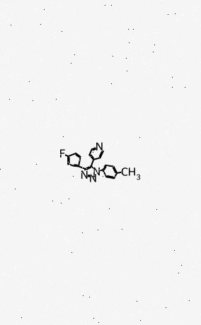 Cc1ccc(-n2nnc(-c3ccc(F)cc3)c2-c2ccncc2)cc1